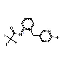 O=C(/N=c1\ccccn1Cc1ccc(F)nc1)C(F)(F)F